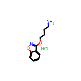 Cl.NCCCCOc1noc2ccccc12